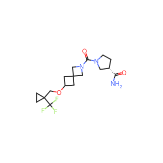 NC(=O)[C@H]1CCN(C(=O)N2CC3(CC(OCC4(C(F)(F)F)CC4)C3)C2)C1